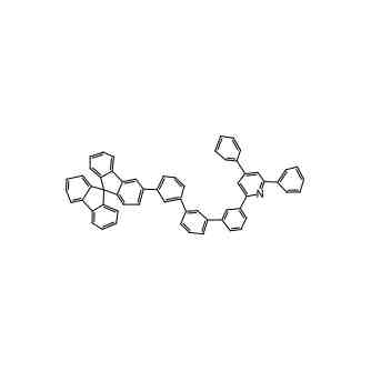 c1ccc(-c2cc(-c3ccccc3)nc(-c3cccc(-c4cccc(-c5cccc(-c6ccc7c(c6)-c6ccccc6C76c7ccccc7-c7ccccc76)c5)c4)c3)c2)cc1